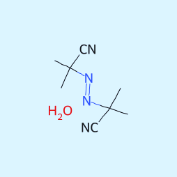 CC(C)(C#N)N=NC(C)(C)C#N.O